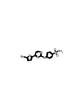 NS(=O)(=O)c1ccc(Nc2nccc(-c3ccc(Br)s3)n2)cc1